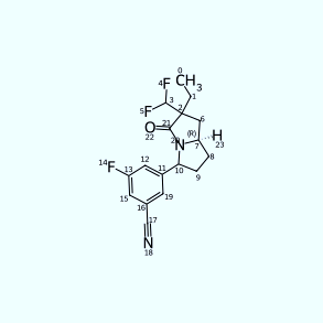 CCC1(C(F)F)C[C@H]2CCC(c3cc(F)cc(C#N)c3)N2C1=O